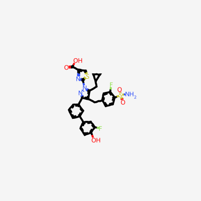 NS(=O)(=O)c1ccc(Cc2c(-c3cccc(-c4ccc(O)c(F)c4)c3)nn(-c3nc(C(=O)O)cs3)c2CC2CC2)cc1F